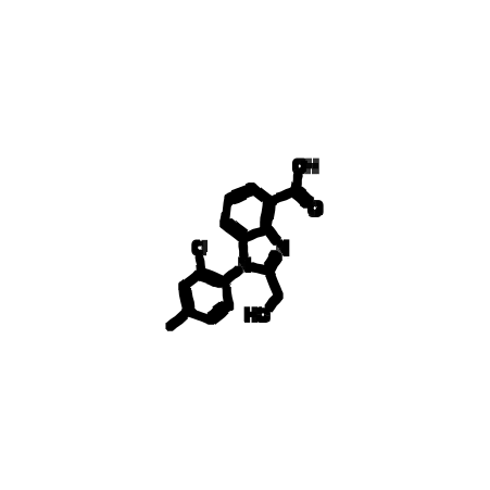 Cc1ccc(-n2c(CO)nc3c(C(=O)O)cccc32)c(Cl)c1